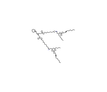 CCCCCCC#CCOC(=O)OC(C/C=C\CCCCCCCCOC(=O)CCN(CCC(=O)OCCCCCCCC/C=C\CC(CCCCCC)OC(=O)OCC#CCCCCCC)CCN1CCCCC1)CCCCCC